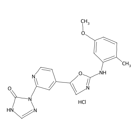 COc1ccc(C)c(Nc2ncc(-c3ccnc(-n4nc[nH]c4=O)c3)o2)c1.Cl